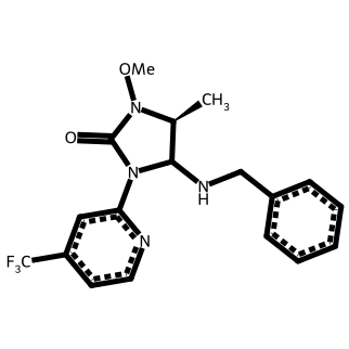 CON1C(=O)N(c2cc(C(F)(F)F)ccn2)C(NCc2ccccc2)[C@@H]1C